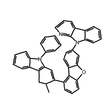 CC1Cc2c(n(-c3ccccc3)c3ccccc23)C=C1c1cccc2oc3cc(-n4c5ccccc5c5cccnc54)ccc3c12